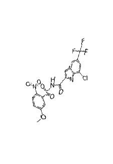 COc1ccc([N+](=O)[O-])c(S(=O)(=O)NC(=O)c2cn3cc(C(F)(F)F)cc(Cl)c3n2)c1